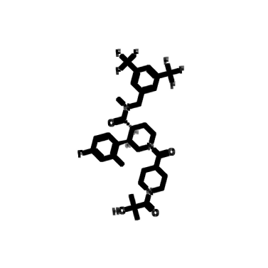 Cc1cc(F)ccc1[C@@H]1CN(C(=O)C2CCN(C(=O)C(C)(C)O)CC2)CC[C@H]1C(=O)N(C)Cc1cc(C(F)(F)F)cc(C(F)(F)F)c1